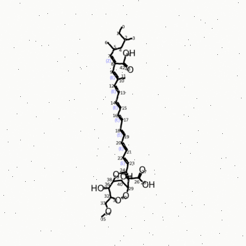 CCC(C)CC(C)/C=C(/C=C(C)/C=C/C=C/C=C/C=C/C=C/C=C/C1=C(C(=O)O)C2OOC(COC)C(O)C(O1)C2O)C(=O)O